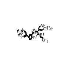 C=C(NCCC)C(=C\N=C(/C)c1cccc(C(/C=N\C)=C/C)c1)/C(/C=N\C)=C/C